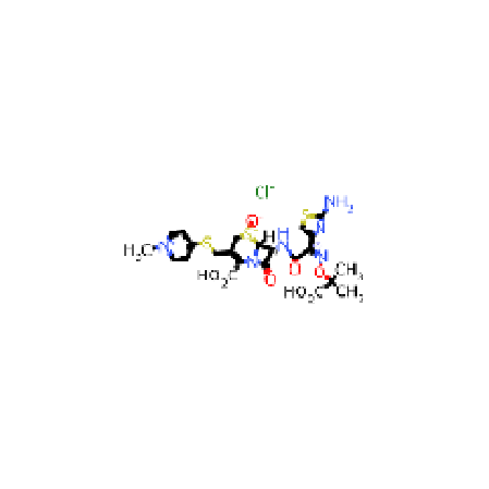 C[n+]1ccc(SCC2=C(C(=O)O)N3C(=O)[C@@H](NC(=O)/C(=N\OC(C)(C)C(=O)O)c4csc(N)n4)[C@H]3[S+]([O-])C2)cc1.[Cl-]